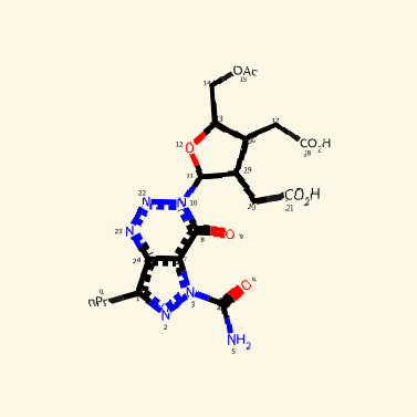 CCCc1nn(C(N)=O)c2c(=O)n(C3OC(COC(C)=O)C(CC(=O)O)C3CC(=O)O)nnc12